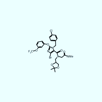 CNC(=O)CN(CC1COC(C)(C)O1)C(=O)c1c(Br)nc(Oc2cccc(OC(F)(F)F)c2)n1Cc1ccc(Cl)cc1